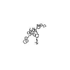 CCn1c(=O)n(CCCOC2CCCCO2)c(=O)c2c1nc(-c1ccc(OC3CCC3)nc1)n2Cc1ccc(C#CS(C)(C)C)cc1